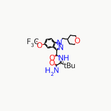 CC(C)(C)[C@H](NC(=O)c1nn(CC2CCOCC2)c2ccc(OC(F)(F)F)cc12)C(N)=O